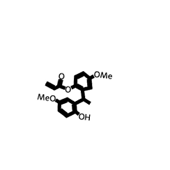 C=CC(=O)Oc1ccc(OC)cc1C(C)c1cc(OC)ccc1O